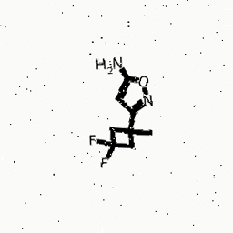 CC1(c2cc(N)on2)CC(F)(F)C1